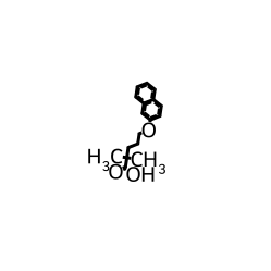 CC(C)(CCCOc1ccc2ccccc2c1)C(=O)O